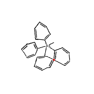 C[As](c1ccccc1)(c1ccccc1)(c1ccccc1)c1ccccc1